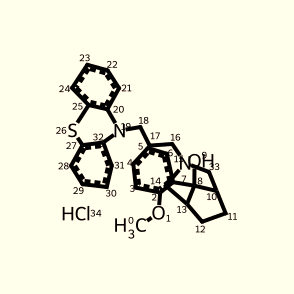 COc1ccccc1C1(O)C2CCC1CN(CCCN1c3ccccc3Sc3ccccc31)C2.Cl